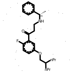 CCCC(CCC)COc1ccc(F)c(C(=O)CCN[C@@H](C)c2ccccc2)c1